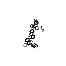 CN(C(=O)c1cccnc1)c1ccc2sc3c(-c4cccc5c(=O)cc(N6CCOCC6)oc45)cccc3c2c1